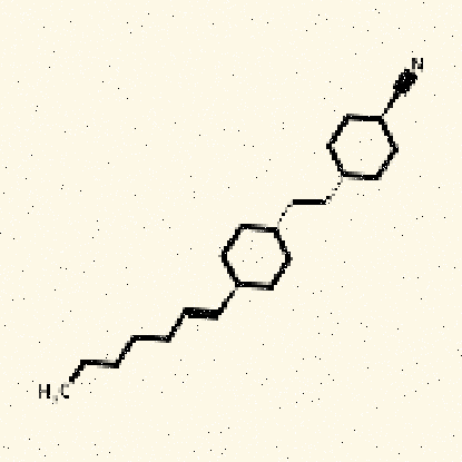 CCCCC/C=C/[C@H]1CC[C@H](CC[C@H]2CC[C@H](C#N)CC2)CC1